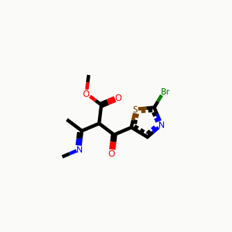 CN=C(C)C(C(=O)OC)C(=O)c1cnc(Br)s1